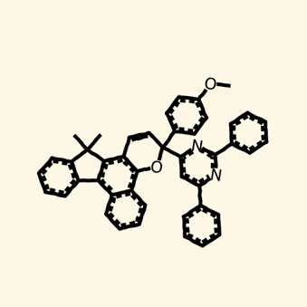 COc1ccc(C2(c3cc(-c4ccccc4)nc(-c4ccccc4)n3)C=Cc3c4c(c5ccccc5c3O2)-c2ccccc2C4(C)C)cc1